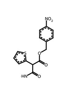 [NH]C(=O)C(C(=O)OCc1ccc([N+](=O)[O-])cc1)c1cccs1